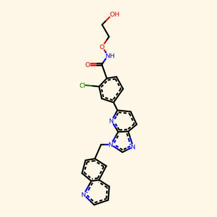 O=C(NOCCO)c1ccc(-c2ccc3ncn(Cc4ccc5ncccc5c4)c3n2)cc1Cl